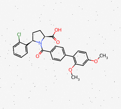 COc1ccc(-c2ccc(C(=O)N3[C@@H](c4ccccc4Cl)CC[C@H]3C(=O)O)cc2)c(OC)c1